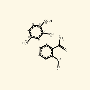 CCOc1ccccc1C(N)=O.Nc1ccc(C(=O)O)c(O)c1